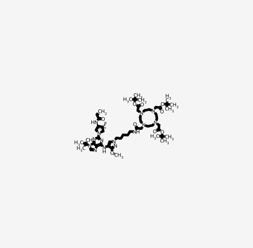 C=CC(=O)N[C@@H]1CN(c2nc(Nc3cn(CCCCCNC(=O)CN4CCN(CC(=O)OC(C)(C)C)CCN(CC(=O)OC(C)(C)C)CCN(CC(=O)OC(C)(C)C)CC4)nc3OC)c3ncn(C(C)(C)C)c3n2)C[C@H]1F